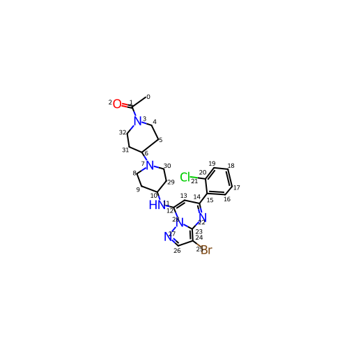 CC(=O)N1CCC(N2CCC(Nc3cc(-c4ccccc4Cl)nc4c(Br)cnn34)CC2)CC1